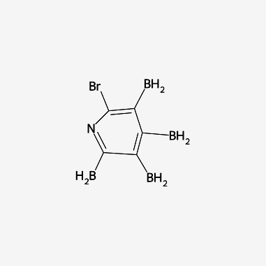 Bc1nc(Br)c(B)c(B)c1B